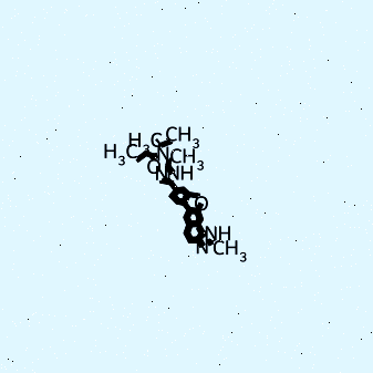 CCCC(=O)N([C@@H](C)CC)[C@@H](C)c1ncc(-c2ccc3c(c2)COc2cc4c(ccc5nc(C)[nH]c54)cc2-3)[nH]1